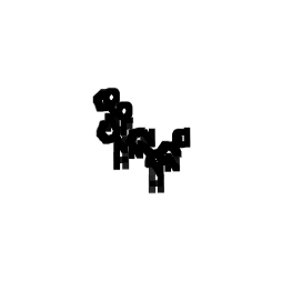 O=C([C@H]1CCCO1)N1CCC[C@H](Nc2nc(-c3c[nH]c4ncc(Cl)cc34)ncc2F)C1